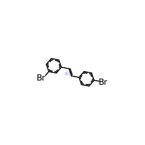 Brc1ccc(/C=C/c2cccc(Br)c2)cc1